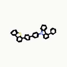 c1ccc(-c2cccc3c2c2ccccc2n3-c2ccc(-c3ccc(-c4cccc5c4sc4ccccc45)cc3)cc2)cc1